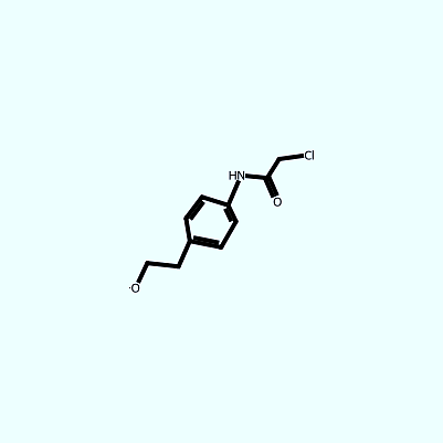 [O]CCc1ccc(NC(=O)CCl)cc1